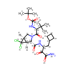 CC(C)(C)OC(=O)N[C@H](C(=O)N1C[C@H]2[C@@H]([C@H]1C(=O)N[C@@H](CC1CCC1)C(=O)C(N)=O)C2(Cl)Cl)C(C)(C)C